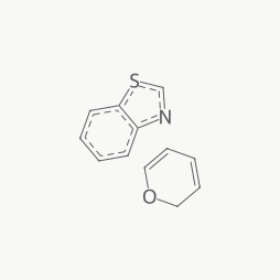 C1=CCOC=C1.c1ccc2scnc2c1